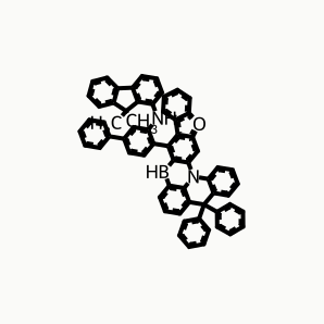 CC1(C)c2ccccc2-c2cccc(Nc3cc(-c4ccccc4)ccc3-c3c4c(cc5oc6ccccc6c35)N3c5ccccc5C(c5ccccc5)(c5ccccc5)c5cccc(c53)B4)c21